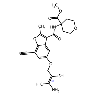 COC(=O)C1(NC(=O)c2c(C)oc3c(C#N)cc(OC/C(S)=C(\C)N)cc23)CCOCC1